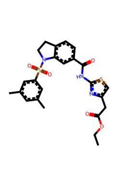 CCOC(=O)Cc1csc(NC(=O)c2ccc3c(c2)N(S(=O)(=O)c2cc(C)cc(C)c2)CC3)n1